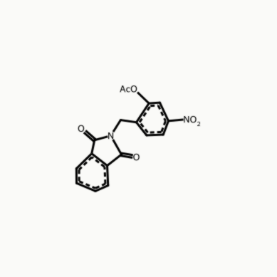 CC(=O)Oc1cc([N+](=O)[O-])ccc1CN1C(=O)c2ccccc2C1=O